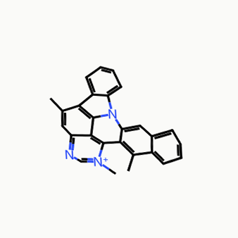 Cc1cc2nc[n+](C)c3c4c(C)c5ccccc5cc4n4c5ccccc5c1c4c23